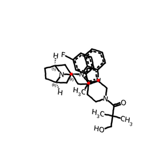 Cc1nc2ccccc2n1[C@H]1C[C@H]2CC[C@@H](C1)N2CCC1(c2cccc(F)c2)CCN(C(=O)C(C)(C)CO)CC1